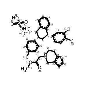 CN[C@H]1CC[C@@H](c2ccc(Cl)c(Cl)c2)c2ccccc21.COC(=O)[C@H](c1ccccc1Cl)N1CCc2sccc2C1.O=S(=O)(O)O